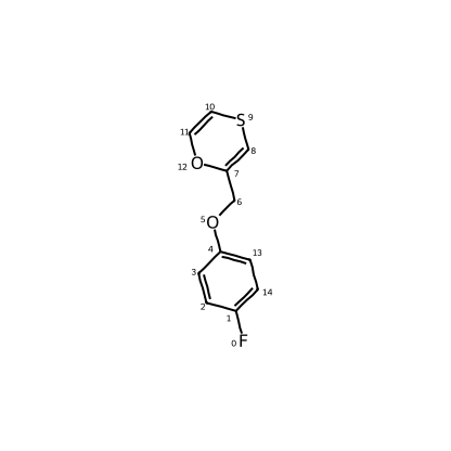 Fc1ccc(OCC2=CSC=CO2)cc1